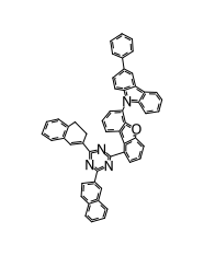 C1=C(c2nc(-c3ccc4ccccc4c3)nc(-c3cccc4oc5c(-n6c7ccccc7c7cc(-c8ccccc8)ccc76)cccc5c34)n2)CCc2ccccc21